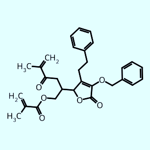 C=C(C)C(=O)CC(COC(=O)C(=C)C)C1OC(=O)C(OCc2ccccc2)=C1CCc1ccccc1